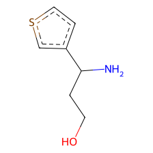 NC(CCO)c1ccsc1